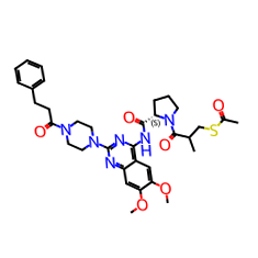 COc1cc2nc(N3CCN(C(=O)CCc4ccccc4)CC3)nc(NC(=O)[C@@H]3CCCN3C(=O)C(C)CSC(C)=O)c2cc1OC